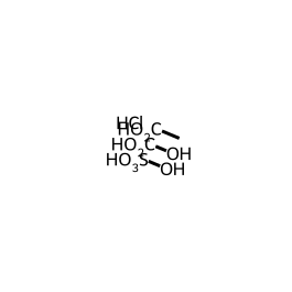 CC(=O)O.Cl.O=C(O)O.O=S(=O)(O)O